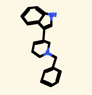 C1=C(c2c[nH]c3ccccc23)CN(Cc2ccccc2)CC1